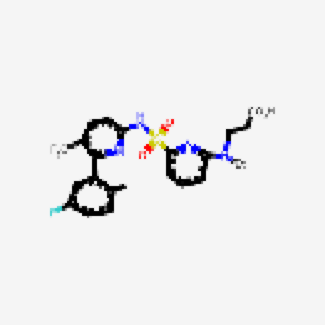 CCN(CCC(=O)O)c1cccc(S(=O)(=O)Nc2ccc(C(F)(F)F)c(-c3cc(F)ccc3C)n2)n1